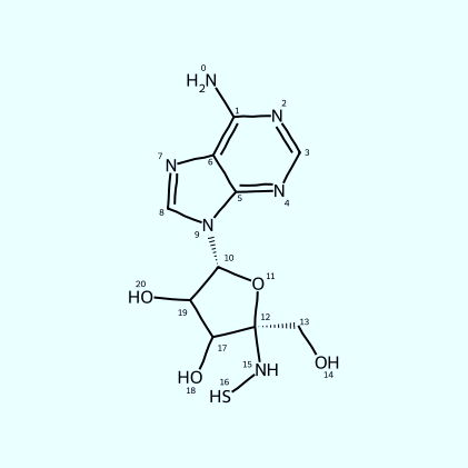 Nc1ncnc2c1ncn2[C@@H]1O[C@@](CO)(NS)C(O)C1O